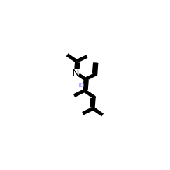 C=C/C(N=C(C)C)=C(/C)C=C(C)C